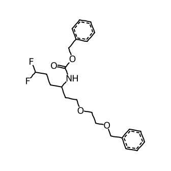 O=C(NC(CCOCCOCc1ccccc1)CCC(F)F)OCc1ccccc1